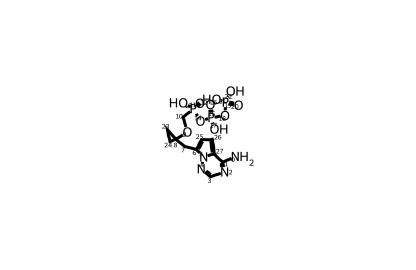 Nc1ncnn2c(CC3(OCP(=O)(O)OP(=O)(O)OP(=O)(O)O)CC3)ccc12